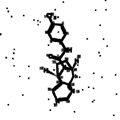 O=C(Nc1ccc(C(F)(F)F)cc1)N1[C@H]2CC[C@@H]1c1cncnc1C2